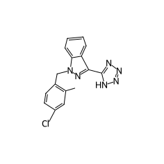 Cc1cc(Cl)ccc1Cn1nc(-c2nnn[nH]2)c2ccccc21